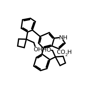 O=C(O)c1c[nH]c2cc(-c3ccccc3C3(CO)CCC3)cc(-c3ccccc3C3(CO)CCC3)c12